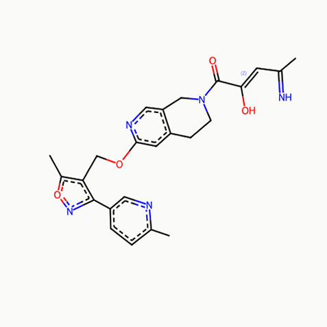 CC(=N)/C=C(\O)C(=O)N1CCc2cc(OCc3c(-c4ccc(C)nc4)noc3C)ncc2C1